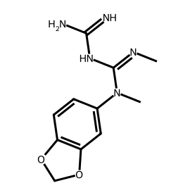 C/N=C(/NC(=N)N)N(C)c1ccc2c(c1)OCO2